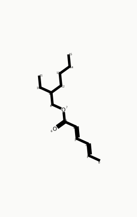 CC=CC=CC(=O)OCC(CC)CCCC